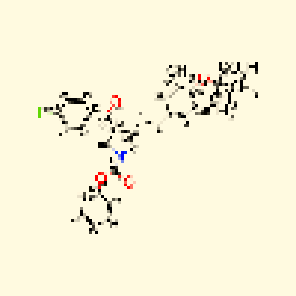 Cc1cc(CC[C@@H]2CN(C(=O)Oc3ccccc3)C[C@H]2C(=O)c2ccc(F)cc2)cc(C)c1OC(C)(C)C(=O)O